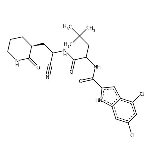 CC(C)(C)CC(NC(=O)c1cc2c(Cl)cc(Cl)cc2[nH]1)C(=O)NC(C#N)C[C@@H]1CCCNC1=O